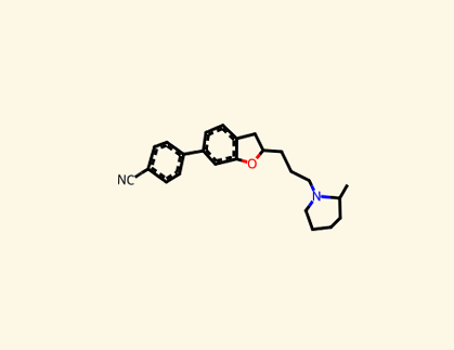 CC1CCCCN1CCCC1Cc2ccc(-c3ccc(C#N)cc3)cc2O1